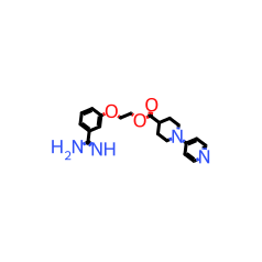 N=C(N)c1cccc(OCCOC(=O)C2CCN(c3ccncc3)CC2)c1